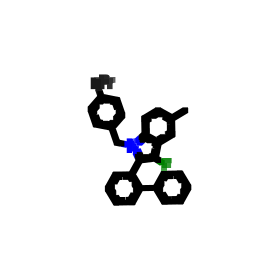 CCCc1ccc(Cn2c(-c3ccccc3-c3ccccc3)c(F)c3cc(C)ccc32)cc1